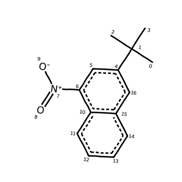 CC(C)(C)c1cc([N+](=O)[O-])c2ccccc2c1